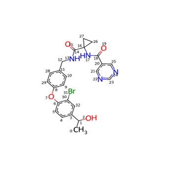 CC(O)c1ccc(Oc2ccc(CNC(=O)C3(NC(=O)c4cncnc4)CC3)cc2)c(Br)c1